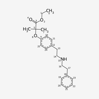 CCOC(=O)C(C)(C)Oc1ccc(CCNCCc2ccccc2)cc1